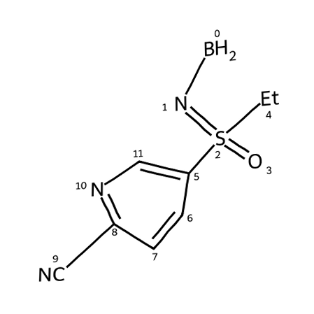 BN=S(=O)(CC)c1ccc(C#N)nc1